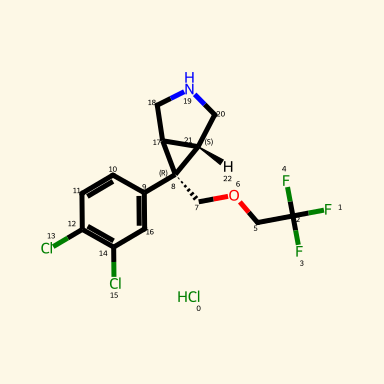 Cl.FC(F)(F)COC[C@]1(c2ccc(Cl)c(Cl)c2)C2CNC[C@@H]21